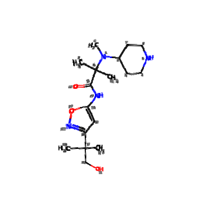 CN(C1CCNCC1)C(C)(C)C(=O)Nc1cc(C(C)(C)CO)no1